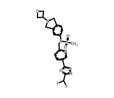 CS(=O)(=O)N(Cc1ccc(-c2nnc(C(F)F)o2)cn1)c1ccc2c(c1)CN(C1COC1)C2